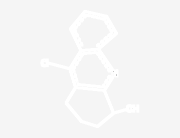 OC1CCCc2c1nc1ccccc1c2Cl